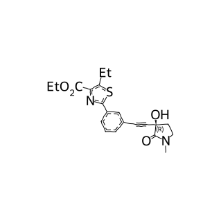 CCOC(=O)c1nc(-c2cccc(C#C[C@]3(O)CCN(C)C3=O)c2)sc1CC